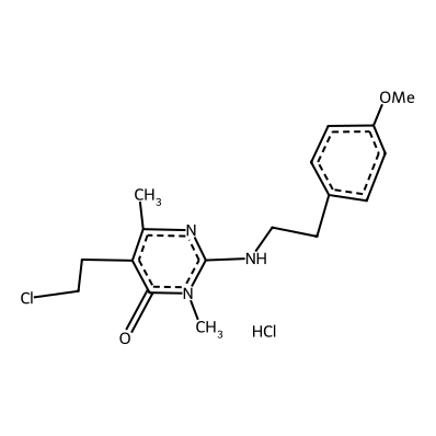 COc1ccc(CCNc2nc(C)c(CCCl)c(=O)n2C)cc1.Cl